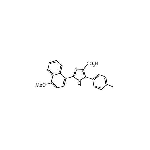 COc1ccc(-c2nc(C(=O)O)c(-c3ccc(C)cc3)[nH]2)c2ccccc12